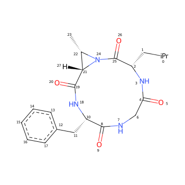 CC(C)C[C@@H]1NC(=O)CNC(=O)[C@H](Cc2ccccc2)NC(=O)[C@@H]2[C@H](C)N2C1=O